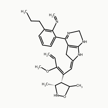 C=C/C(OC)=C(\C=C1/CC2=C(NCN=C2c2cccc(CCC)c2N=C)N1)[C@@H]1C(C)ON[C@@H]1C